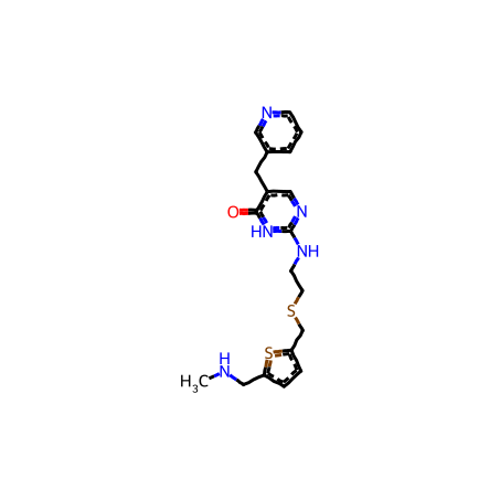 CNCc1ccc(CSCCNc2ncc(Cc3cccnc3)c(=O)[nH]2)s1